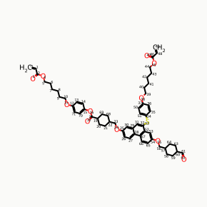 C=CC(=O)OCCCCCCOc1ccc(OC(=O)C2CCC(COc3ccc4c(c3)cc(Sc3ccc(OCCCCCCOC(=O)C=C)cc3)c3cc(OCC5CCC(C=O)CC5)ccc34)CC2)cc1